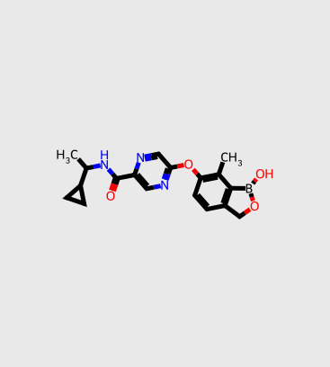 Cc1c(Oc2cnc(C(=O)NC(C)C3CC3)cn2)ccc2c1B(O)OC2